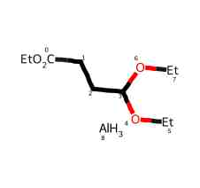 CCOC(=O)CCC(OCC)OCC.[AlH3]